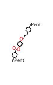 CCCCCC1CCC(CCCOc2ccc(OC(=O)C3CCC(CCCCC)CC3)cc2)CC1